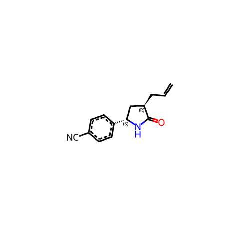 C=CC[C@@H]1C[C@@H](c2ccc(C#N)cc2)NC1=O